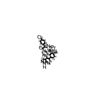 CC(C)NCC(C(=O)N1CCN(c2c(-c3cccc(F)c3)cnc3[nH]ncc23)CC1)c1ccc(Cl)cc1.Cl.Cl